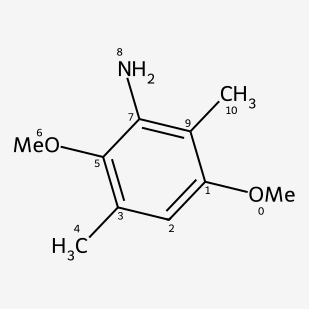 COc1cc(C)c(OC)c(N)c1C